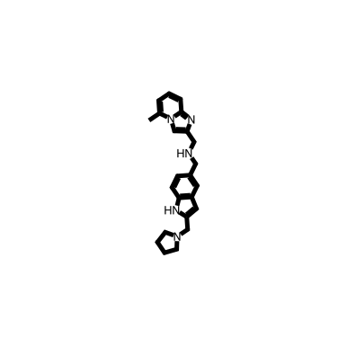 Cc1cccc2nc(CNCc3ccc4[nH]c(CN5CCCC5)cc4c3)cn12